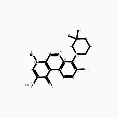 CCn1cc(C(=O)O)c(=O)c2c3ccc(F)c(N4CCCC(C)(C)C4)c3ncc21